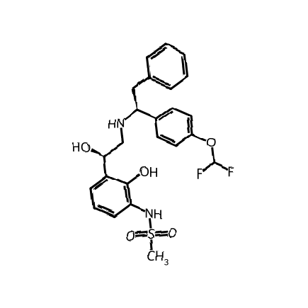 CS(=O)(=O)Nc1cccc([C@@H](O)CN[C@@H](Cc2ccccc2)c2ccc(OC(F)F)cc2)c1O